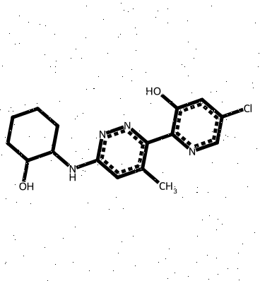 Cc1cc(NC2CCCCC2O)nnc1-c1ncc(Cl)cc1O